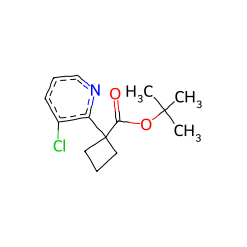 CC(C)(C)OC(=O)C1(c2ncccc2Cl)CCC1